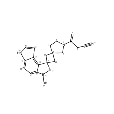 N#CCC(=O)N1CCC2(C1)CC1(C2)OB(O)c2cnc3[nH]ccc3c21